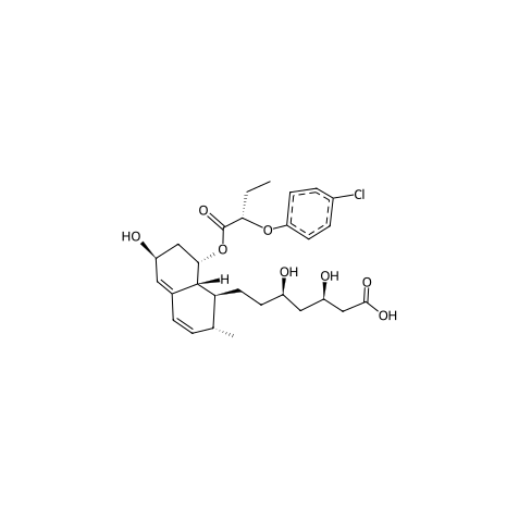 CC[C@H](Oc1ccc(Cl)cc1)C(=O)O[C@H]1C[C@H](O)C=C2C=C[C@@H](C)[C@H](CC[C@@H](O)C[C@@H](O)CC(=O)O)[C@H]21